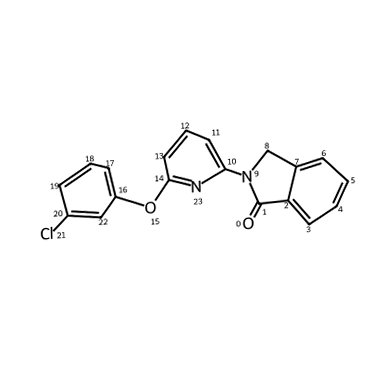 O=C1c2ccccc2CN1c1cccc(Oc2cccc(Cl)c2)n1